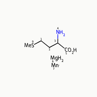 CSCCC(N)C(=O)O.[MgH2].[Mn]